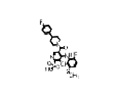 COc1ccc(F)c(Nc2c(C(=O)N3CCC(c4ccc(F)cc4)CC3)cnc(S(=O)(=O)O)c2C)c1